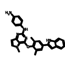 Cc1cc(-c2cc3ccccc3[nH]2)cc(C)c1Oc1nc(Nc2ccc(N)cc2)nc2ccn(C)c12